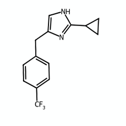 FC(F)(F)c1ccc(Cc2c[nH]c(C3CC3)n2)cc1